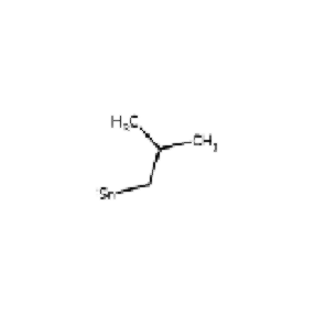 CC(C)[CH2][Sn]